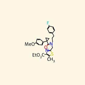 CCOC(=O)c1nc(CN(CCCc2ccc(F)cc2)C(=O)C2(c3ccc(OC)cc3)CC2)sc1C